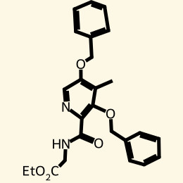 CCOC(=O)CNC(=O)c1ncc(OCc2ccccc2)c(C)c1OCc1ccccc1